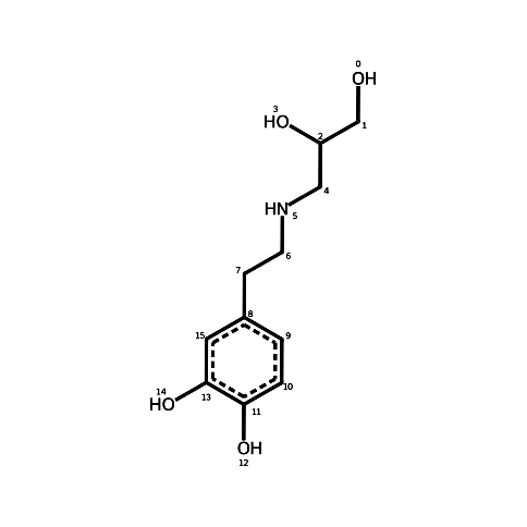 OCC(O)CNCCc1ccc(O)c(O)c1